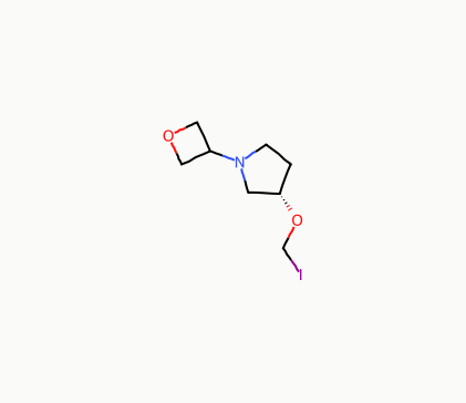 ICO[C@H]1CCN(C2COC2)C1